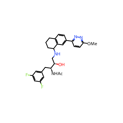 COc1ccc(-c2ccc3c(c2)C(NC[C@@H](O)[C@H](Cc2cc(F)cc(F)c2)NC(C)=O)CCC3)nn1